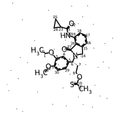 CCOc1cc([C@@H](CCOC(C)=S)N2Cc3cccc(NC(=O)C4CC4)c3C2=O)ccc1OC